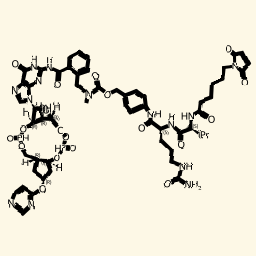 CC(C)[C@H](NC(=O)CCCCCN1C(=O)C=CC1=O)C(=O)N[C@@H](CCCNC(N)=O)C(=O)Nc1ccc(COC(=O)N(C)Cc2ccccc2C(=O)Nc2nc3c(ncn3[C@@H]3O[C@@H]4CO[PH](=O)O[C@H]5C[C@H](Oc6ccncn6)C[C@@H]5CO[PH](=O)O[C@@H]3[C@@H]4O)c(=O)[nH]2)cc1